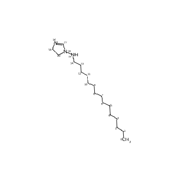 CCCCCCCCCCCCCCCNN1C=NCC1